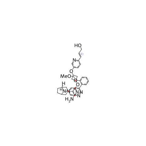 COCOc1ccccc1-c1cc(N2CC3CC[C@H](C2)N3c2ccnc(OC3CC(Oc4ccc(/C=C/CO)nc4)C3)c2)c(N)nn1